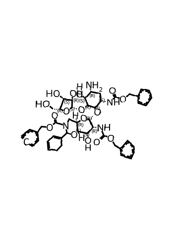 N[C@@H]1C[C@H](NC(=O)OCc2ccccc2)[C@@H](O[C@H]2O[C@@H]3CN(C(=O)OCc4ccccc4)C(C4=CC=CCC4)O[C@H]3[C@@H](O)[C@H]2NC(=O)OCc2ccccc2)[C@H](O[C@@H]2O[C@H](CO)[C@@H](O)[C@H]2O)[C@H]1O